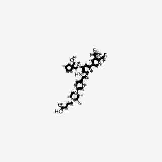 COCC1(CN(C)c2cc(-c3cnc(C(F)(F)F)c(C(F)(F)F)c3)nc3nc(-c4cnc(N5CCN(CCCC(=O)O)[C@@H](C)C5)cn4)[nH]c23)CCCC1